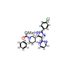 COC(=O)N1C[C@@H](c2[nH]c(-c3ccc(Cl)cc3)nc2-c2ncccn2)CC[C@@H]1c1ccccc1